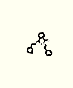 O=C(OC=Cc1ccccc1)c1ccccc1C(=O)OC=Cc1ccccc1